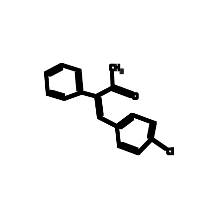 CC(=O)C(=Cc1ccc(Cl)cc1)c1ccccc1